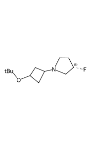 CC(C)(C)OC1CC(N2CC[C@H](F)C2)C1